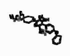 C[C@H]1CC2(CCN(c3nc(N)c(-c4ccc(Oc5ccccc5)cc4)c(=N)n3C)CC2)CO1